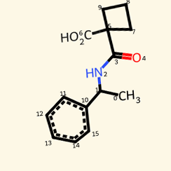 CC(NC(=O)C1(C(=O)O)CCC1)c1ccccc1